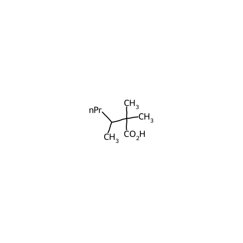 CCCC(C)C(C)(C)C(=O)O